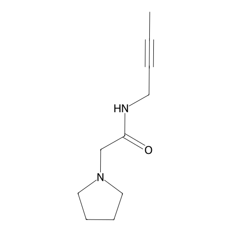 CC#CCNC(=O)CN1CCCC1